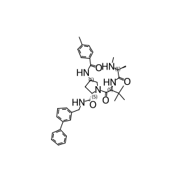 CN[C@@H](C)C(=O)N[C@H](C(=O)N1C[C@@H](NC(=O)c2ccc(C)cc2)C[C@H]1C(=O)NCc1cccc(-c2ccccc2)c1)C(C)(C)C